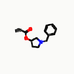 CCCC(=O)OC1CCN(Cc2ccccc2)C1